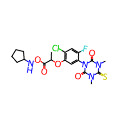 CC(Oc1cc(-n2c(=O)n(C)c(=S)n(C)c2=O)c(F)cc1Cl)C(=O)ONC1CCCC1